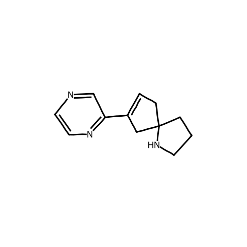 C1=C(c2cnccn2)CC2(C1)CCCN2